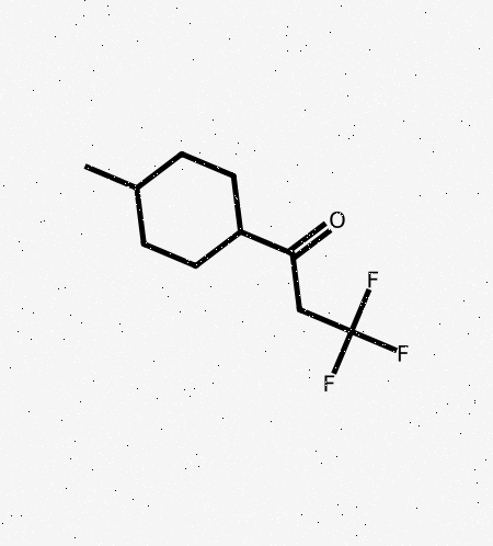 CC1CCC(C(=O)CC(F)(F)F)CC1